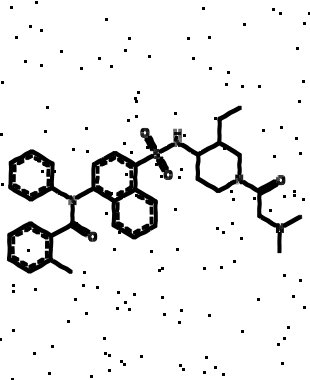 CCC1CN(C(=O)CN(C)C)CCC1NS(=O)(=O)c1ccc(N(C(=O)c2ccccc2C)c2ccccc2)c2ccccc12